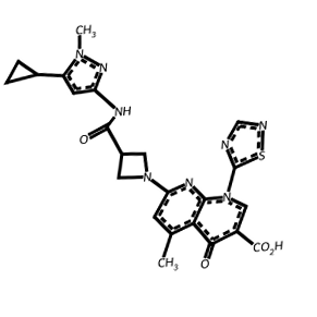 Cc1cc(N2CC(C(=O)Nc3cc(C4CC4)n(C)n3)C2)nc2c1c(=O)c(C(=O)O)cn2-c1ncns1